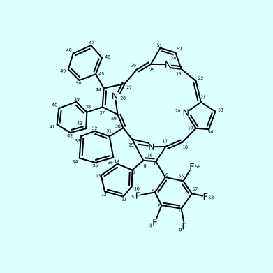 Fc1c(F)c(F)c(C2=C(c3ccccc3)C3=NC2=CC2=NC(=CC4=NC(=CC5=NC(=C3c3ccccc3)C(c3ccccc3)=C5c3ccccc3)C=C4)C=C2)c(F)c1F